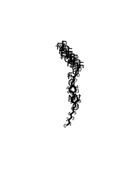 CCCCCCCOc1cnc(-c2ccc(OCC(F)COCC(F)(F)OC(F)(F)C(F)(F)OC(F)(F)C(F)(F)OC(F)(F)F)cc2)nc1